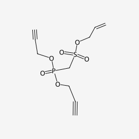 C#CCOP(=O)(CS(=O)(=O)OCC=C)OCC#C